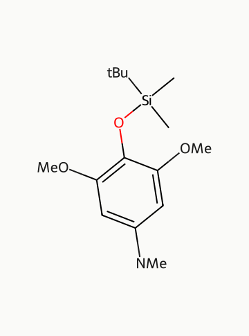 CNc1cc(OC)c(O[Si](C)(C)C(C)(C)C)c(OC)c1